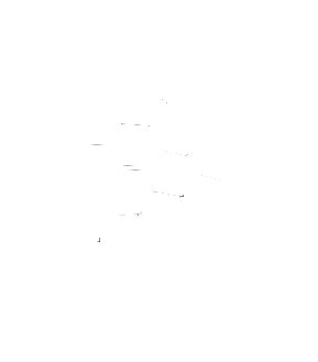 C=C(C)OC(=O)C(C(=O)OC(C)(C)C)c1cc(F)cc(N)c1[N+](=O)[O-]